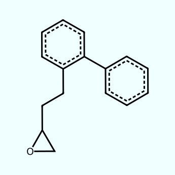 c1ccc(-c2ccccc2CCC2CO2)cc1